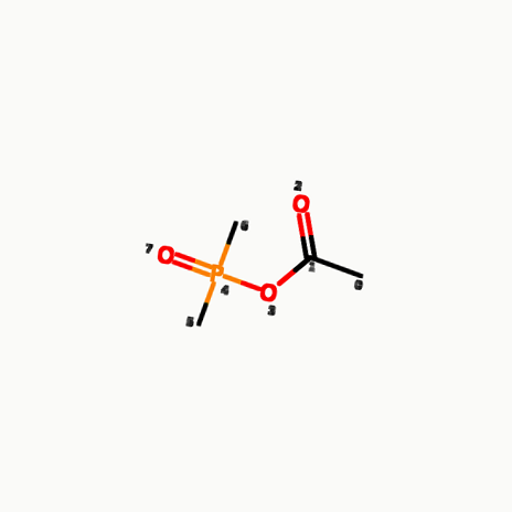 CC(=O)OP(C)(C)=O